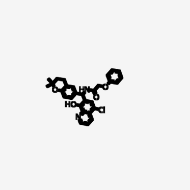 CC1(C)CCc2cc(C(NC(=O)COc3ccccc3)c3cc(Cl)c4cccnc4c3O)ccc2O1